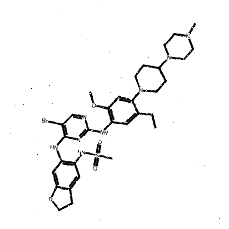 CCc1cc(Nc2ncc(Br)c(Nc3cc4c(cc3NS(C)(=O)=O)CCO4)n2)c(OC)cc1N1CCC(N2CCN(C)CC2)CC1